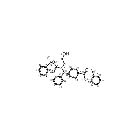 C[C@H](OC(=O)N(CCO)[C@H](c1ccccc1)c1ccc(C(=O)Nc2ccccc2N)cc1)c1cccnc1